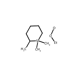 CC1CCCC[Si]1(C)C.CCO[O]